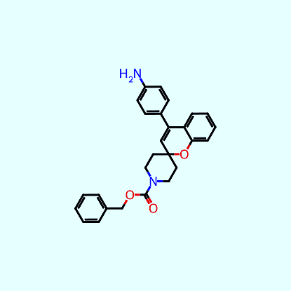 Nc1ccc(C2=CC3(CCN(C(=O)OCc4ccccc4)CC3)Oc3ccccc32)cc1